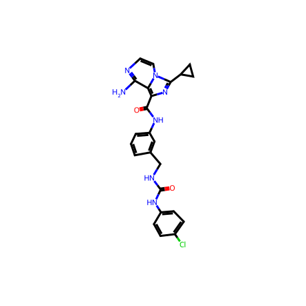 Nc1nccn2c(C3CC3)nc(C(=O)Nc3cccc(CNC(=O)Nc4ccc(Cl)cc4)c3)c12